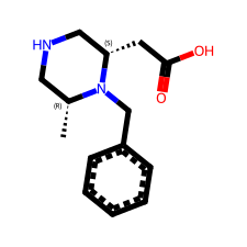 C[C@@H]1CNC[C@H](CC(=O)O)N1Cc1ccccc1